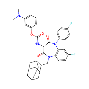 CN(C)c1cccc(OC(=O)NC2C(=O)N(CC3C4CC5CC(C4)CC3C5)c3ccc(F)cc3N(c3ccc(F)cc3)C2=O)c1